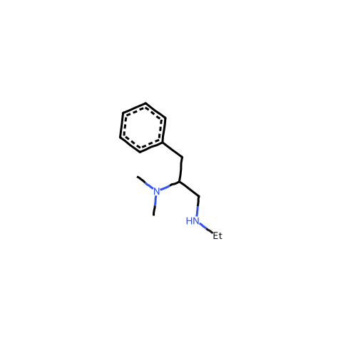 CCNCC(Cc1ccccc1)N(C)C